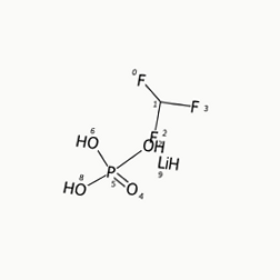 FC(F)F.O=P(O)(O)O.[LiH]